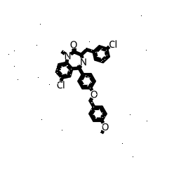 COc1ccc(COc2ccc(C3=NC(Cc4cccc(Cl)c4)C(=O)N(C)c4ccc(Cl)cc43)cc2)cc1